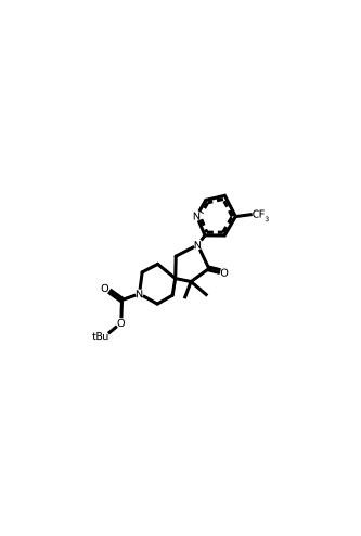 CC(C)(C)OC(=O)N1CCC2(CC1)CN(c1cc(C(F)(F)F)ccn1)C(=O)C2(C)C